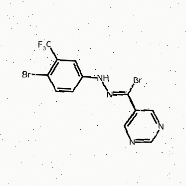 FC(F)(F)c1cc(NN=C(Br)c2cncnc2)ccc1Br